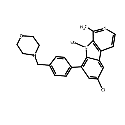 CCn1c2c(-c3ccc(CN4CCOCC4)cc3)cc(Cl)cc2c2ccnc(C)c21